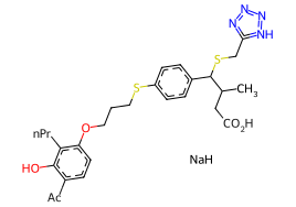 CCCc1c(OCCCSc2ccc(C(SCc3nnn[nH]3)C(C)CC(=O)O)cc2)ccc(C(C)=O)c1O.[NaH]